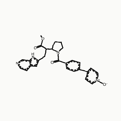 COC(=O)C(Cc1cc2ccncc2[nH]1)C1CCCN1C(=O)c1ccc(-c2cc[n+]([O-])cc2)cc1